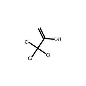 C=C(O)C(Cl)(Cl)Cl